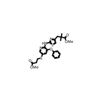 COC(=O)CCSc1cnc(Nc2nc(CC(C)(C)C(=O)OC)cs2)c(Oc2ccccc2)c1